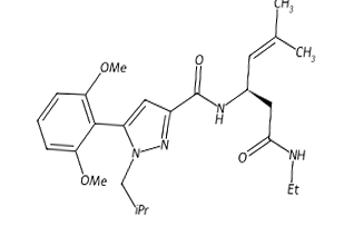 CCNC(=O)C[C@H](C=C(C)C)NC(=O)c1cc(-c2c(OC)cccc2OC)n(CC(C)C)n1